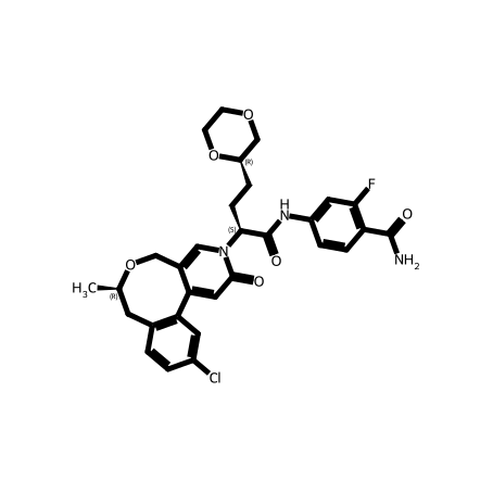 C[C@@H]1Cc2ccc(Cl)cc2-c2cc(=O)n([C@@H](CC[C@@H]3COCCO3)C(=O)Nc3ccc(C(N)=O)c(F)c3)cc2CO1